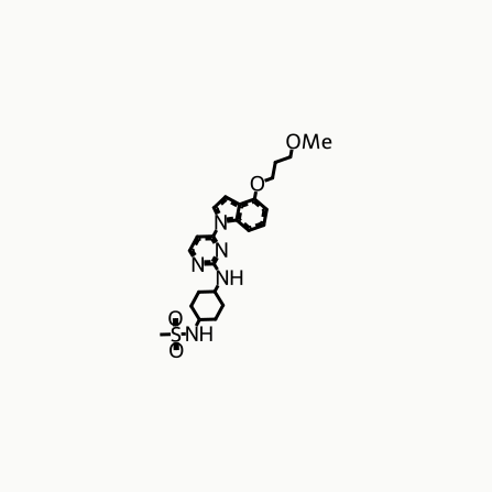 COCCCOc1cccc2c1ccn2-c1ccnc(NC2CCC(NS(C)(=O)=O)CC2)n1